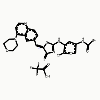 CC(C)C(=O)Nc1ccc(Cl)c(NC2=NC(=O)/C(=C/c3ccc4nccc(N5CCOCC5)c4c3)S2)c1.O=C(O)C(F)(F)F